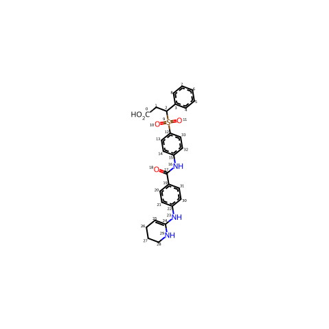 O=C(O)CC(c1ccccc1)S(=O)(=O)c1ccc(NC(=O)c2ccc(NC3=CCCCN3)cc2)cc1